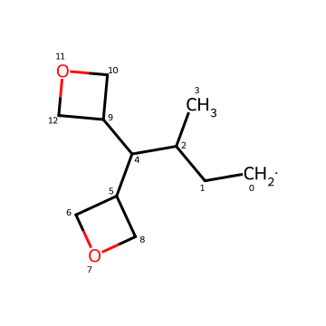 [CH2]CC(C)C(C1COC1)C1COC1